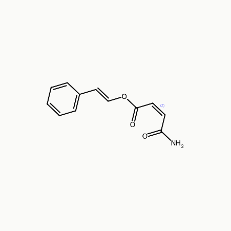 NC(=O)/C=C\C(=O)OC=Cc1ccccc1